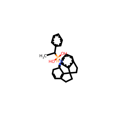 CC(c1ccccc1)[PH](O)(O)N=C1CC=CC2=C1C1(CC2)CCc2ccccc21